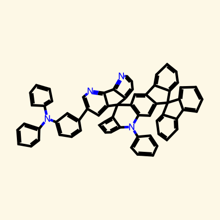 c1ccc(N(c2ccccc2)c2cccc(-c3cnc4c(c3)C3(c5ccccc5N(c5ccccc5)c5cc6c(cc53)-c3ccccc3C63c5ccccc5-c5ccccc53)c3cccnc3-4)c2)cc1